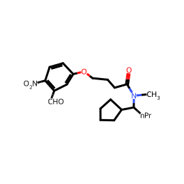 CCCC(C1CCCC1)N(C)C(=O)CCCOc1ccc([N+](=O)[O-])c(C=O)c1